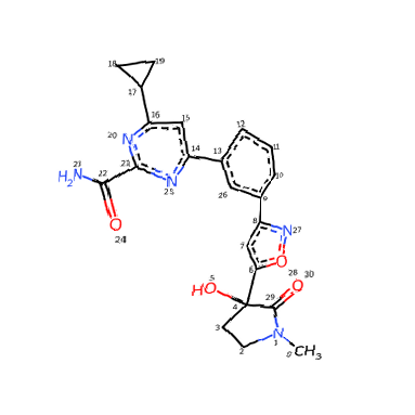 CN1CCC(O)(c2cc(-c3cccc(-c4cc(C5CC5)nc(C(N)=O)n4)c3)no2)C1=O